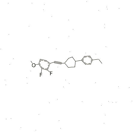 CCc1ccc(C2CCC(C#Cc3ccc(OC)c(F)c3F)CC2)cc1